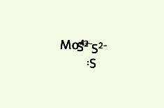 [Mo+4].[S-2].[S-2].[S]